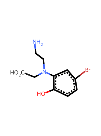 NCCN(CC(=O)O)c1cc(Br)ccc1O